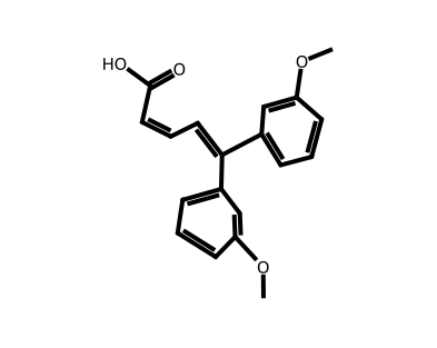 COc1cccc(C(=C/C=C\C(=O)O)c2cccc(OC)c2)c1